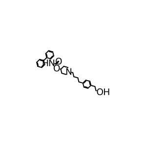 O=C(Nc1ccccc1-c1ccccc1)OC1CCN(CCCCc2ccc(CCO)cc2)CC1